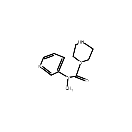 CN(C(=O)N1CCNCC1)c1cccnc1